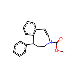 COC(=O)N1/C=C\c2ccccc2C(c2ccccc2)CC1